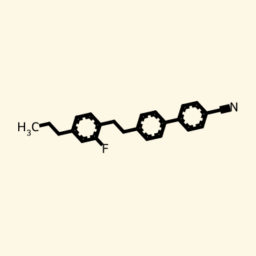 CCCc1ccc(CCc2ccc(-c3ccc(C#N)cc3)cc2)c(F)c1